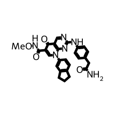 CONC(=O)c1cn(-c2ccc3c(c2)CCC3)c2nc(Nc3ccc(CC(N)=O)cc3)ncc2c1=O